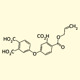 C=CCOC(=O)c1ccc(Oc2ccc(C(=O)O)c(C(=O)O)c2)cc1C(=O)O